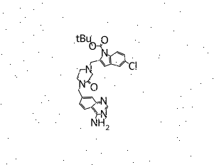 CC(C)(C)OC(=O)n1c(CN2CCN(Cc3ccc4c(N)ncnc4c3)C(=O)C2)cc2cc(Cl)ccc21